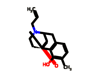 C=CCN1CC[C@@]23CC(=O)CCC2C1Cc1ccc(C)c(O)c13